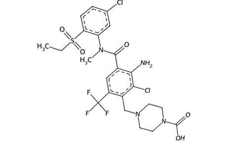 CCS(=O)(=O)c1ccc(Cl)cc1N(C)C(=O)c1cc(C(F)(F)F)c(CN2CCN(C(=O)O)CC2)c(Cl)c1N